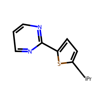 CC(C)c1ccc(-c2ncccn2)s1